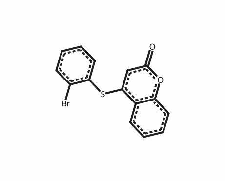 O=c1cc(Sc2ccccc2Br)c2ccccc2o1